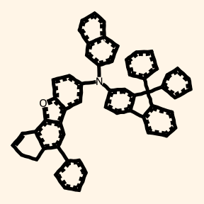 C1=Cc2c(c(-c3ccccc3)cc3c2oc2ccc(N(c4ccc5c(c4)C(c4ccccc4)(c4ccccc4)c4ccccc4-5)c4ccc5ccccc5c4)cc23)CC1